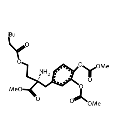 CCC(C)CC(=O)OCC[C@@](N)(Cc1ccc(OC(=O)OC)c(OC(=O)OC)c1)C(=O)OC